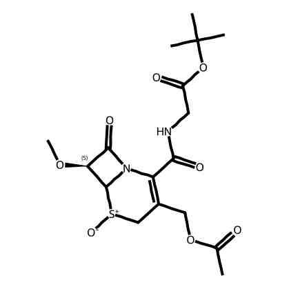 CO[C@H]1C(=O)N2C(C(=O)NCC(=O)OC(C)(C)C)=C(COC(C)=O)C[S+]([O-])C12